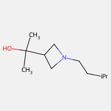 CC(C)CCN1CC(C(C)(C)O)C1